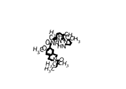 C=C(/C=C\C=C(/C)NC(=O)c1cc2c(cc1OC)CCN(C(=O)C(C)(C)CC)C2)C(=N)N1C(=N)CCC1(C)C